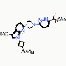 CNC(=O)c1ccc(N2CCN(c3ccc4c(C#N)cn([C@H]5C[C@H](NC)C5)c4n3)CC2)nn1